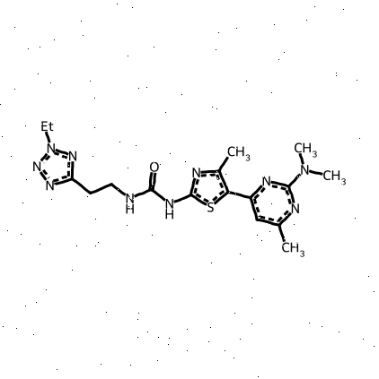 CCn1nnc(CCNC(=O)Nc2nc(C)c(-c3cc(C)nc(N(C)C)n3)s2)n1